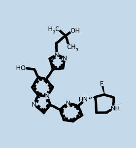 CC(C)(O)Cn1cc(-c2cn3c(-c4cccc(N[C@H]5CCNC[C@@H]5F)n4)cnc3cc2CO)cn1